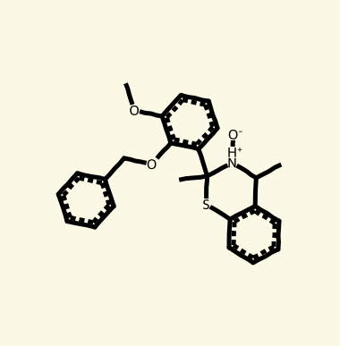 COc1cccc(C2(C)Sc3ccccc3C(C)[NH+]2[O-])c1OCc1ccccc1